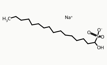 CCCCCCCCCCCCCCCC(O)S(=O)(=O)[O-].[Na+]